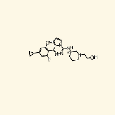 OCCN1CCC[C@@H](Nc2nnc(-c3c(O)cc(C4CC4)cc3F)c3cccn23)C1